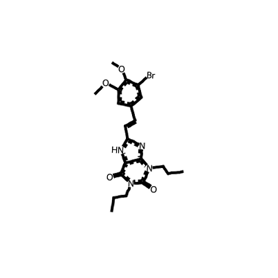 CCCn1c(=O)c2[nH]c(C=Cc3cc(Br)c(OC)c(OC)c3)nc2n(CCC)c1=O